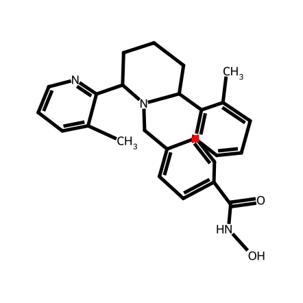 Cc1cccnc1C1CCCC(c2ncccc2C)N1Cc1ccc(C(=O)NO)cc1